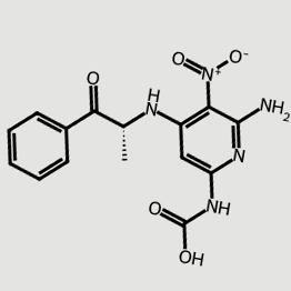 C[C@@H](Nc1cc(NC(=O)O)nc(N)c1[N+](=O)[O-])C(=O)c1ccccc1